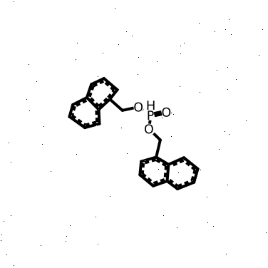 O=[PH](OCc1cccc2ccccc12)OCc1cccc2ccccc12